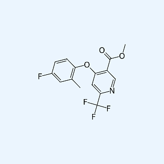 COC(=O)c1cnc(C(F)(F)F)cc1Oc1ccc(F)cc1C